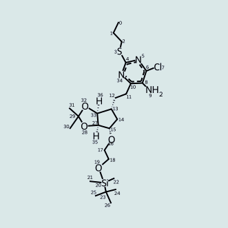 CCCSc1nc(Cl)c(N)c(CC[C@@H]2C[C@H](OCCO[Si](C)(C)C(C)(C)C)[C@H]3OC(C)(C)O[C@@H]23)n1